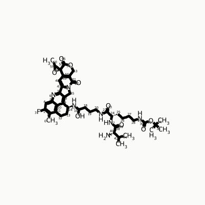 Cc1c(F)cc2nc3c(c4c2c1CC[C@@H]4NC(O)CCCNC(=O)[C@H](CCCCNC(=O)OC(C)(C)C)NC(=O)[C@@H](N)C(C)C)Cn1c-3cc2c(c1=O)COC(=O)[C@@]21OC1C